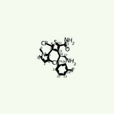 Cn1ncc(Cl)c1-c1c(Cl)sc(C(N)=O)c1[C@@H](CN)Cc1cccc(F)c1